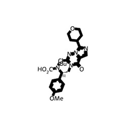 COc1ccc([C@@H](Cn2c(Cl)nn3c(C4CCOCC4)ncc3c2=O)N(C(=O)O)C(C)(C)C)cc1